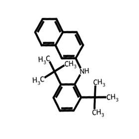 CC(C)(C)c1cccc(C(C)(C)C)c1Nc1ccc2ccccc2c1